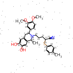 COc1ccc(C2Cc3cc(O)c(O)cc3C(C)N2CCCC(C#N)Sc2ccc(C)cc2)cc1OC